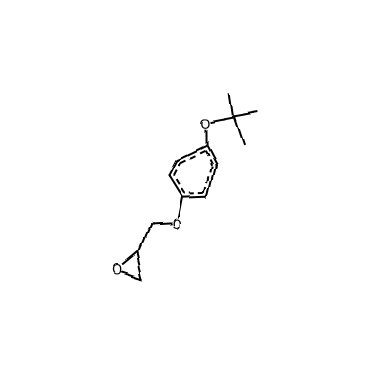 CC(C)(C)Oc1ccc(OCC2CO2)cc1